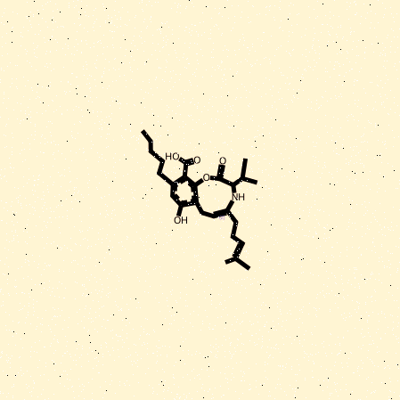 CCCCCc1cc(O)c2c(c1C(=O)O)OC(=O)C(C(C)C)N/C(CCC=C(C)C)=C\C2